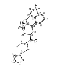 C1=NOCC1.CCN(CC)C(=O)[C@@H]1C=C2c3cccc4[nH]cc(c34)C[C@H]2N(C)C1